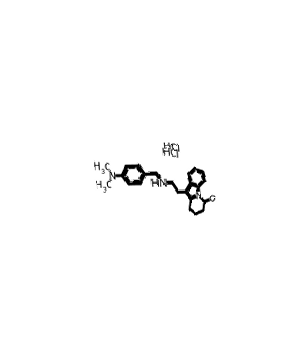 CN(C)c1ccc(CNCCc2c3n(c4ccccc24)C(=O)CCC3)cc1.Cl.Cl